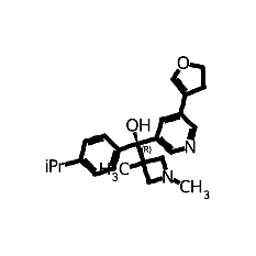 CC(C)c1ccc([C@](O)(c2cncc(C3=COCC3)c2)C2(C)CN(C)C2)cc1